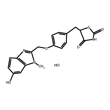 Cl.Cn1c(COc2ccc(CC3SC(=O)NC3=O)cc2)nc2ccc(O)cc21